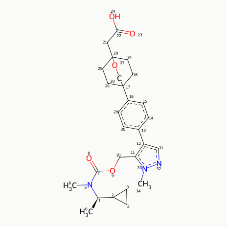 C[C@H](C1CC1)N(C)C(=O)OCc1c(-c2ccc(C34CCC(CC(=O)O)(CC3)OC4)cc2)cnn1C